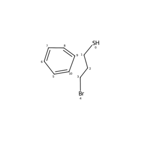 SCCCBr.c1ccccc1